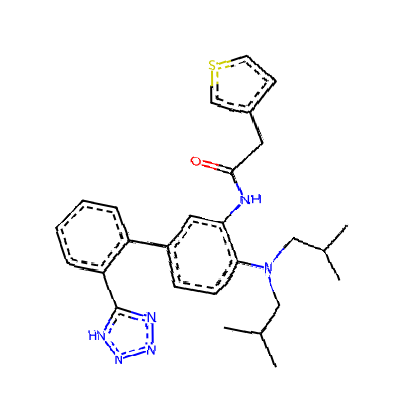 CC(C)CN(CC(C)C)c1ccc(-c2ccccc2-c2nnn[nH]2)cc1NC(=O)Cc1ccsc1